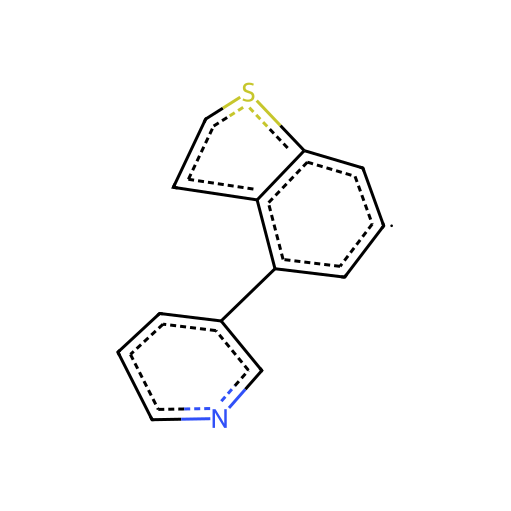 [c]1cc(-c2cccnc2)c2ccsc2c1